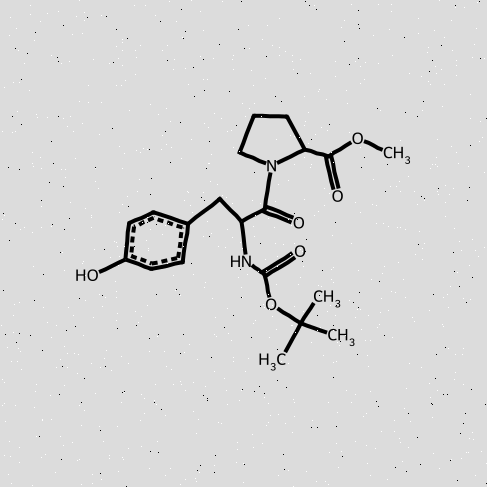 COC(=O)C1CCCN1C(=O)C(Cc1ccc(O)cc1)NC(=O)OC(C)(C)C